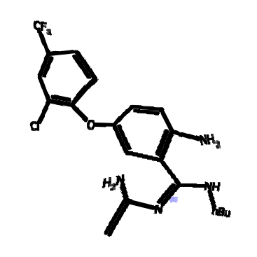 C=C(N)/N=C(/NCCCC)c1cc(Oc2ccc(C(F)(F)F)cc2Cl)ccc1N